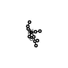 c1ccc(-c2ccc(-c3nc(-c4ccc5ccc(-c6ccccc6)cc5c4)nc(-c4cccc5oc6c(-c7ccc(-c8ccccc8)c8ccccc78)cccc6c45)n3)cc2)cc1